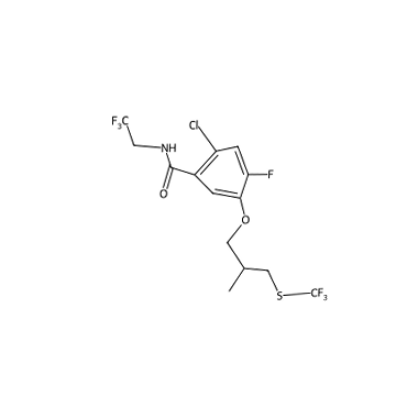 CC(COc1cc(C(=O)NCC(F)(F)F)c(Cl)cc1F)CSC(F)(F)F